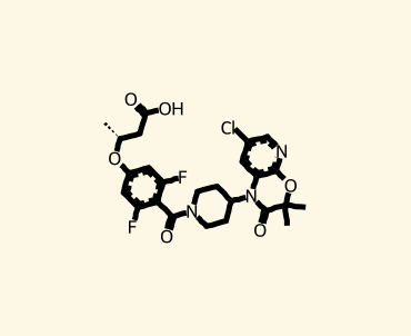 C[C@H](CC(=O)O)Oc1cc(F)c(C(=O)N2CCC(N3C(=O)C(C)(C)Oc4ncc(Cl)cc43)CC2)c(F)c1